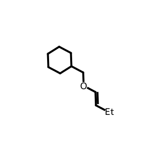 CCC=COCC1CCCCC1